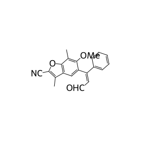 COc1c(/C(=C\C=O)c2ccccc2)cc2c(C)c(C#N)oc2c1C